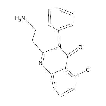 NCCc1nc2cccc(Cl)c2c(=O)n1-c1ccccc1